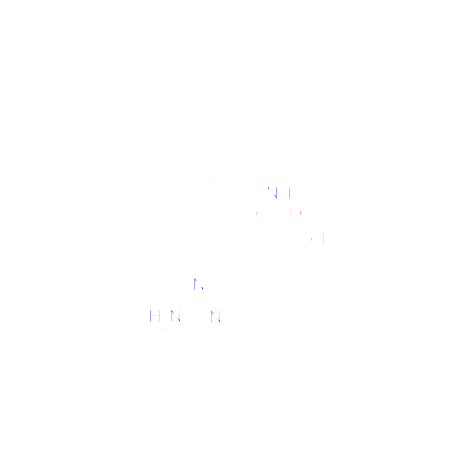 Cc1nc(N)ncc1-c1ccc(Cl)c(S(=O)(=O)NC2CC3CCC(C3)C2)c1